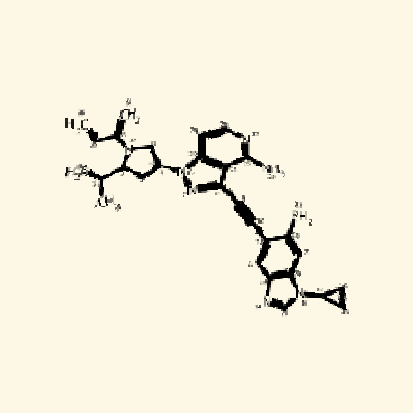 BC(C)C1C[C@H](n2nc(C#Cc3cc4ncn(C5CC5)c4cc3P)c3c(N)nccc32)CN1C(=C)C=C